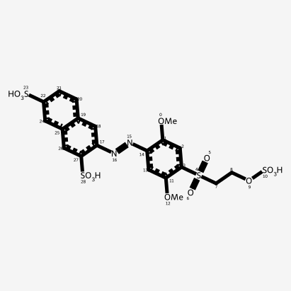 COc1cc(S(=O)(=O)CCOS(=O)(=O)O)c(OC)cc1/N=N/c1cc2ccc(S(=O)(=O)O)cc2cc1S(=O)(=O)O